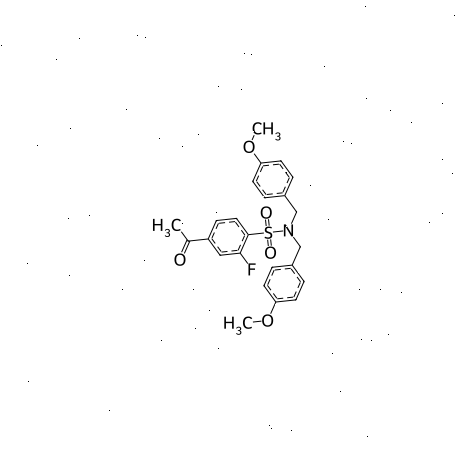 COc1ccc(CN(Cc2ccc(OC)cc2)S(=O)(=O)c2ccc(C(C)=O)cc2F)cc1